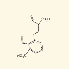 C=Cc1c(CCC(C=C)C(=O)O)cccc1C(=O)O